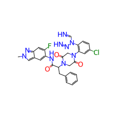 Cn1cc2cc(NC(=O)C(Cc3ccccc3)N3CC(=O)N(c4cc(Cl)ccc4N(C=N)N=N)CC3=O)c(F)cc2n1